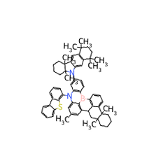 Cc1cc2c3c(c1)N(c1cccc4c1sc1ccccc14)c1cc(N4c5cc6c(cc5C5(C)CCCCC45C)C(C)(C)CCC6(C)C)ccc1B3c1cccc3c1C2CC1(C)CCCCC31C